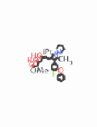 COC(=O)CC(O)C/C(O)=C\Cc1c(-c2ccc(F)c(Oc3ccccc3)c2)c(C)n(N2CCCCC2)c1C(C)C